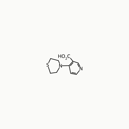 O=C(O)c1cnccc1N1CCSCC1